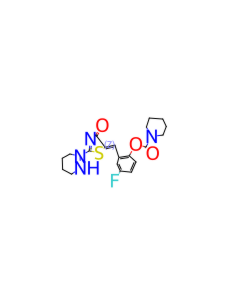 O=C1N=C(N2CCCCN2)S/C1=C\c1cc(F)ccc1OC(=O)N1CCCCC1